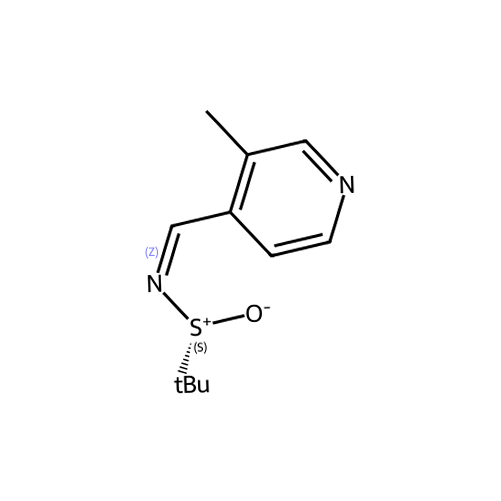 Cc1cnccc1/C=N\[S@+]([O-])C(C)(C)C